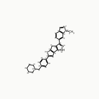 Cn1ncc2ccc(-c3n[nH]c4c3Cc3sc(-c5ccc(CN6CCCCC6)cc5)cc3-4)cc21